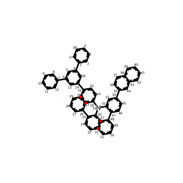 c1ccc(-c2cc(-c3ccccc3)cc(-c3ccc(N(c4ccccc4-c4ccccc4)c4cc(-c5ccc6ccccc6c5)ccc4-c4ccccc4)cc3)c2)cc1